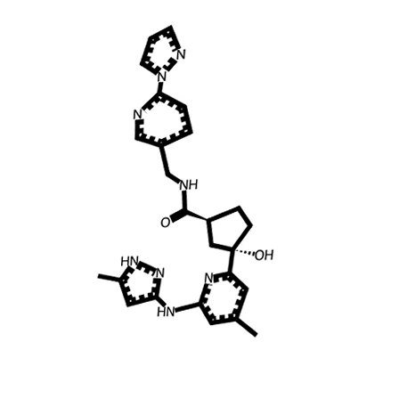 Cc1cc(Nc2cc(C)[nH]n2)nc([C@]2(O)CC[C@H](C(=O)NCc3ccc(-n4cccn4)nc3)C2)c1